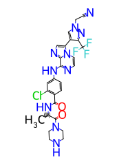 C[C@@H](NC(=O)c1ccc(Nc2nccn3c(-c4cn(CC#N)nc4C(F)(F)F)cnc23)cc1Cl)C(=O)N1CCNCC1